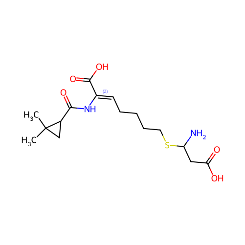 CC1(C)CC1C(=O)N/C(=C\CCCCSC(N)CC(=O)O)C(=O)O